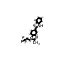 Cc1nc2cc(C3Nc4ccccc4O3)ccc2n1CCC(F)(F)F